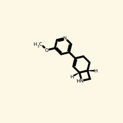 COc1cncc(C2=C[C@H]3NC[C@H]3CC2)c1